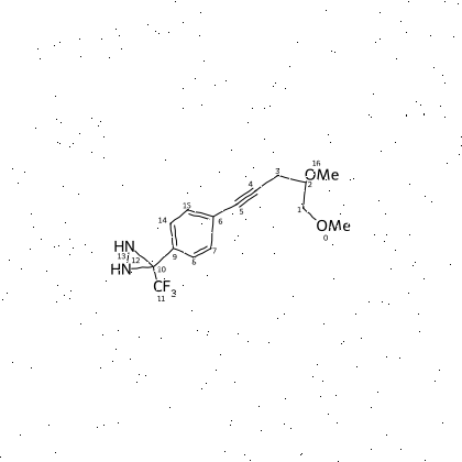 COCC(CC#Cc1ccc(C2(C(F)(F)F)NN2)cc1)OC